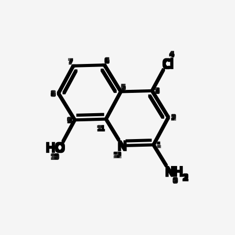 Nc1cc(Cl)c2cccc(O)c2n1